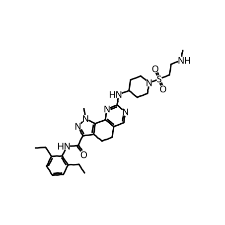 CCc1cccc(CC)c1NC(=O)c1nn(C)c2c1CCc1cnc(NC3CCN(S(=O)(=O)CCNC)CC3)nc1-2